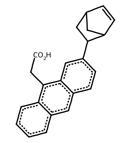 O=C(O)Cc1c2ccccc2cc2ccc(C3CC4C=CC3C4)cc12